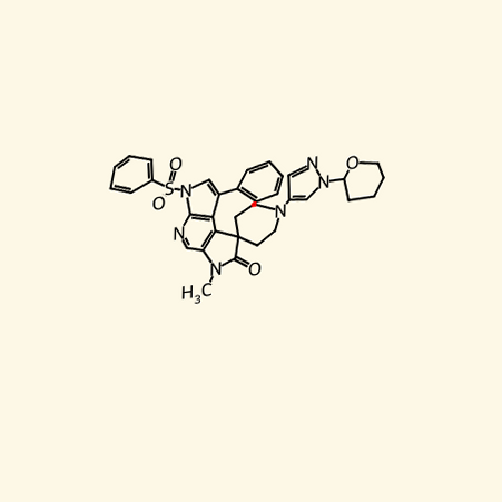 CN1C(=O)C2(CCN(c3cnn(C4CCCCO4)c3)CC2)c2c1cnc1c2c(-c2ccccc2)cn1S(=O)(=O)c1ccccc1